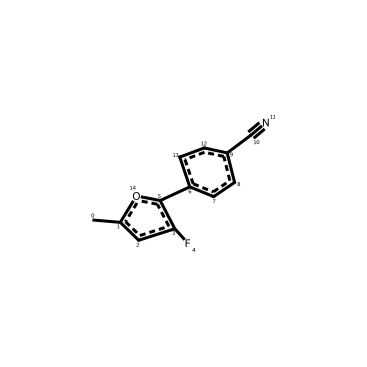 Cc1cc(F)c(-c2ccc(C#N)cc2)o1